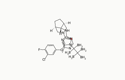 BC(B)(B)C(B)(B)n1nc(N[C@@H]2[C@@H]3CC[C@H]2CN(c2cc(C)ncn2)C3)nc1Oc1ccc(F)c(Cl)c1